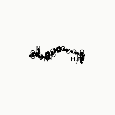 BC(C)(CC)C(C)(C)C(C)C(=O)NCCOCCOCCOc1ccc(C(C)(C)OC(=O)n2ccc3c(-c4cnn(C5(CC#N)CN(S(=O)(=O)CC)C5)c4)ncnc32)cc1